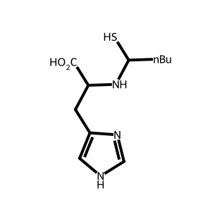 CCCCC(S)NC(Cc1c[nH]cn1)C(=O)O